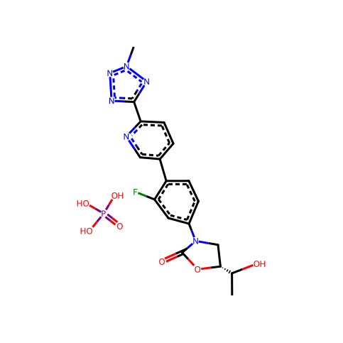 CC(O)[C@H]1CN(c2ccc(-c3ccc(-c4nnn(C)n4)nc3)c(F)c2)C(=O)O1.O=P(O)(O)O